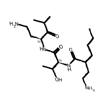 CCCCC(CCN)C(=O)N[C@H](C(=O)N[C@@H](CCN)C(=O)C(C)C)C(C)O